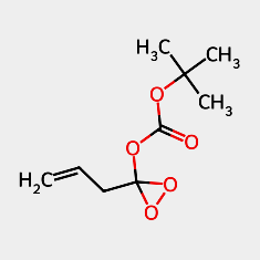 C=CCC1(OC(=O)OC(C)(C)C)OO1